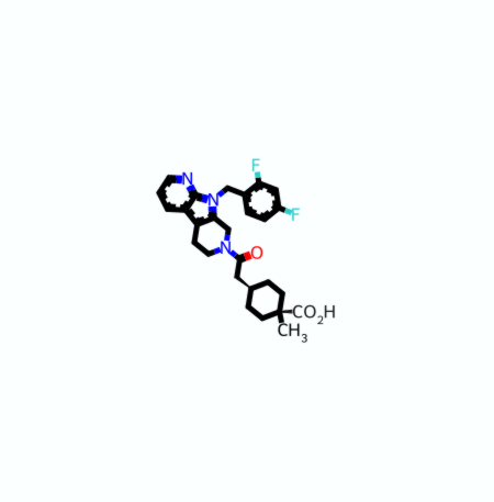 C[C@]1(C(=O)O)CC[C@@H](CC(=O)N2CCc3c(n(Cc4ccc(F)cc4F)c4ncccc34)C2)CC1